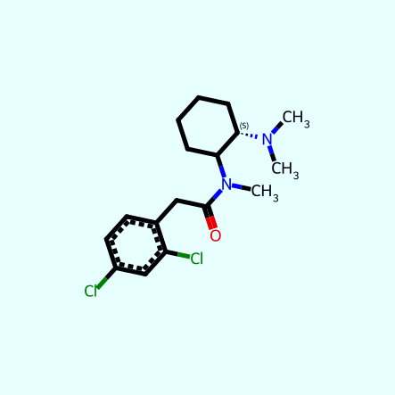 CN(C(=O)Cc1ccc(Cl)cc1Cl)C1CCCC[C@@H]1N(C)C